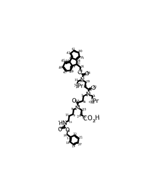 CC(C)CN(CCC(=O)N(CCCCNC(=O)OCc1ccccc1)CCC(=O)O)C(=O)CCN(CC(C)C)C(=O)OCC1c2ccccc2-c2ccccc21